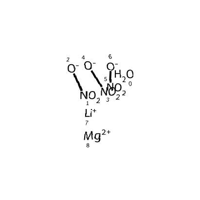 O.O=[N+]([O-])[O-].O=[N+]([O-])[O-].O=[N+]([O-])[O-].[Li+].[Mg+2]